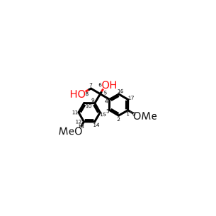 COc1ccc(C(O)(CO)c2ccc(OC)cc2)cc1